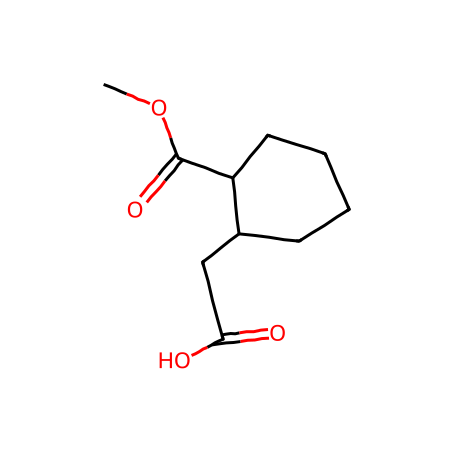 COC(=O)C1CCCCC1CC(=O)O